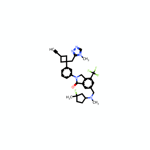 C#CC1CC(Cc2nncn2C)(c2cccc(N3Cc4c(cc(CN(C)C5CCC(C)(F)C5)cc4C(F)(F)F)C3=O)c2)C1